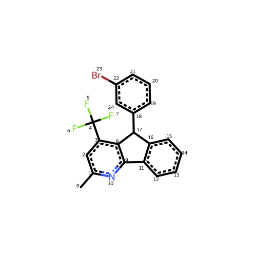 Cc1cc(C(F)(F)F)c2c(n1)-c1ccccc1C2c1cccc(Br)c1